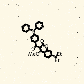 CCN(CC)c1ccc2c(OC)c(C(=O)c3ccc(N(c4ccccc4)c4ccccc4)cc3)c(=O)oc2c1